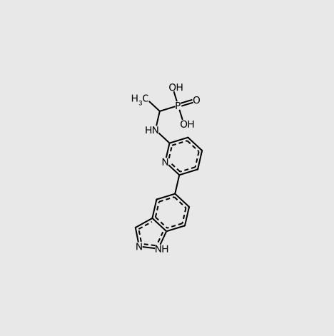 CC(Nc1cccc(-c2ccc3[nH]ncc3c2)n1)P(=O)(O)O